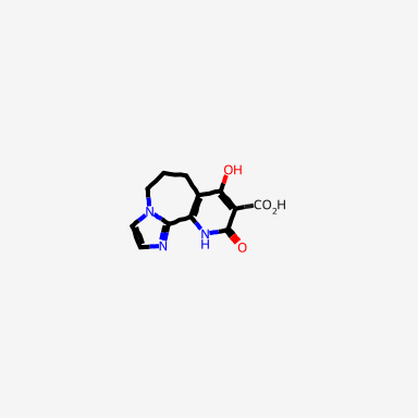 O=C(O)c1c(O)c2c([nH]c1=O)-c1nccn1CCC2